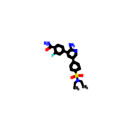 CCN(CC)S(=O)(=O)c1ccc(-c2cnc(N)c(-c3ccc(C(N)=O)c(F)c3)c2)cc1